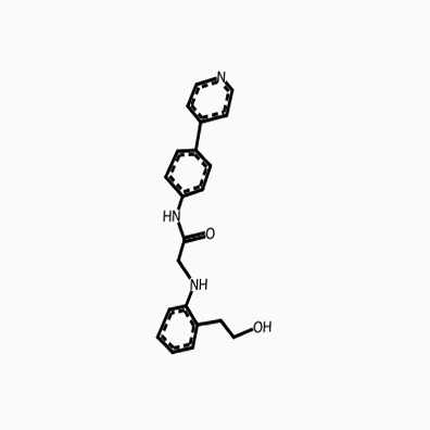 O=C(CNc1ccccc1CCO)Nc1ccc(-c2ccncc2)cc1